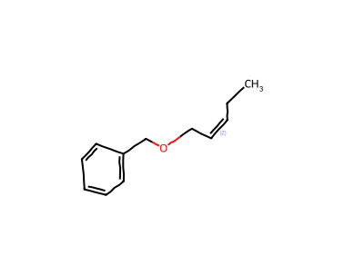 CC/C=C\COCc1ccccc1